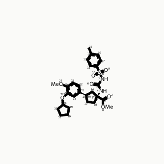 COC(=O)[C@]1(NC(=O)NS(=O)(=O)c2ccc(C)cc2)CC[C@@H](c2ccc(OC)c(OC3CCCC3)c2)C1